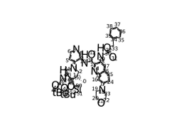 C[C@H]1CN(c2ccncc2NC(=O)c2nc3cc(N4CCOCC4)ccc3cc2NC(=O)OCc2ccccc2)C[C@@H](NC(=O)OC(C)(C)C)[C@@H]1O[Si](C)(C)C(C)(C)C